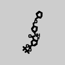 CC1(C)OB(c2ccc(F)c(C(=O)Nc3ccc(COCc4ccccc4)cc3)c2)OC1(C)C